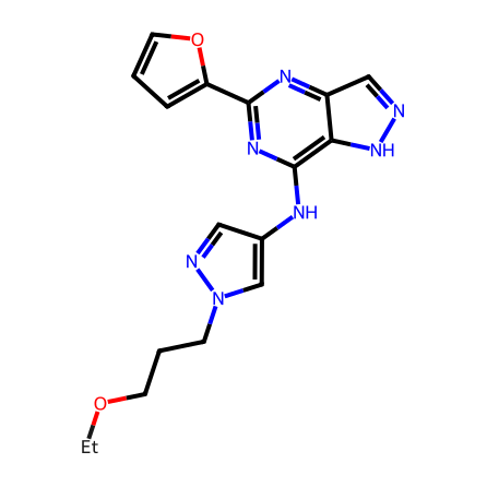 CCOCCCn1cc(Nc2nc(-c3ccco3)nc3cn[nH]c23)cn1